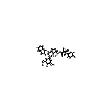 COc1cc([C@@H](O)[C@H](CC2Cc3ccccc3C2)Cn2ccc(CCC(=O)NS(=O)(=O)c3ccc(C)cc3)c2)cc(OC)c1C